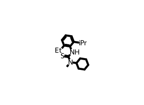 CCc1cccc(C(C)C)c1NC(=S)N(C)C1CCCCC1